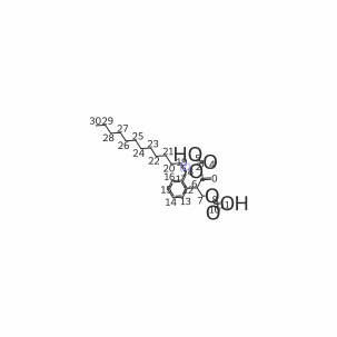 C=C(OC(=O)O)C(COC(=O)O)c1ccccc1/C=C\CCCCCCCCCCC